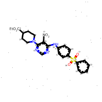 CCOC(=O)C1CCN(c2ncnc(Nc3ccc(S(=O)(=O)c4ccccc4)cc3)c2[N+](=O)[O-])CC1